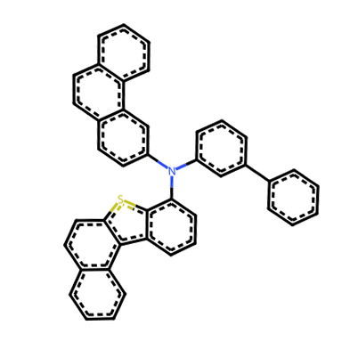 c1ccc(-c2cccc(N(c3ccc4ccc5ccccc5c4c3)c3cccc4c3sc3ccc5ccccc5c34)c2)cc1